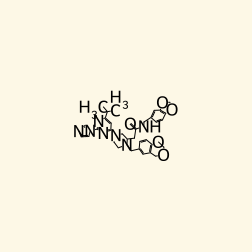 CC(C)c1cc(N2CCN(Cc3ccc4c(c3)COCO4)C(CC(=O)NCc3ccc4c(c3)OCO4)C2)nc(-n2ccnc2)n1